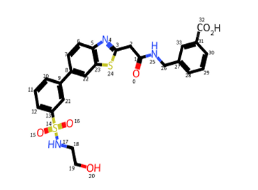 O=C(Cc1nc2ccc(-c3cccc(S(=O)(=O)NCCO)c3)cc2s1)NCc1cccc(C(=O)O)c1